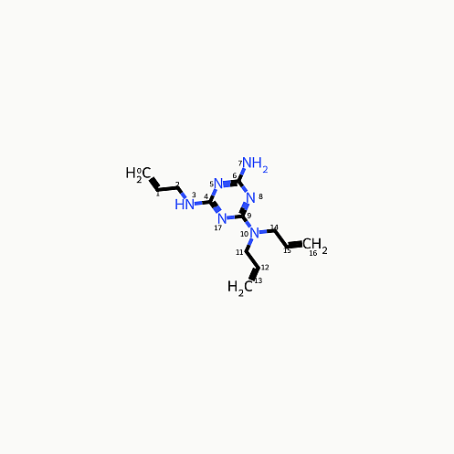 C=CCNc1nc(N)nc(N(CC=C)CC=C)n1